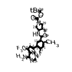 Cc1cc(F)c(-c2cc(C(F)(F)F)c3c(N)ncnn23)cc1C(=O)N[C@@H]1CN(C(=O)OC(C)(C)C)C[C@@H]1F